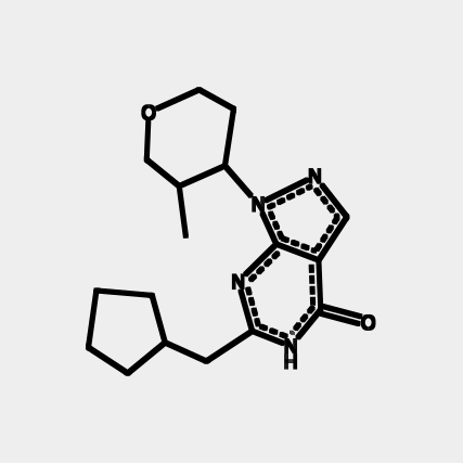 CC1COCCC1n1ncc2c(=O)[nH]c(CC3CCCC3)nc21